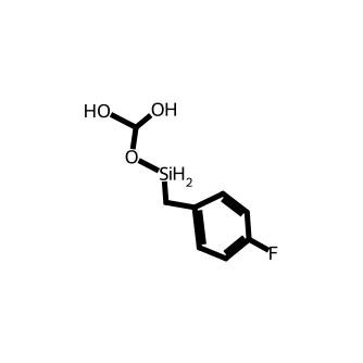 OC(O)O[SiH2]Cc1ccc(F)cc1